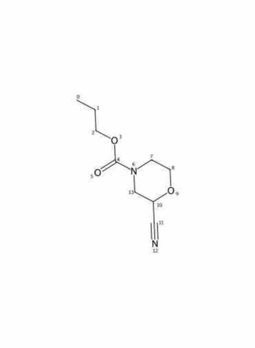 CCCOC(=O)N1CCOC(C#N)C1